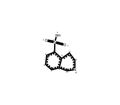 [NH]S(=O)(=O)c1cccc2cnccc12